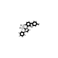 Cc1ccc2c(oc3cc(F)ccc32)c1N1C=CN(c2ccccc2)C1C